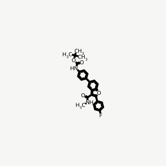 CNC(=O)c1c(-c2ccc(F)cc2)oc2ccc(-c3ccc(NC(=O)OC(C)(C)C)cc3)cc12